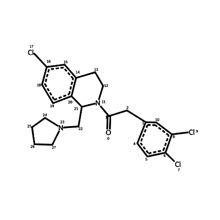 O=C(Cc1ccc(Cl)c(Cl)c1)N1CCc2cc(Cl)ccc2C1CN1CCCC1